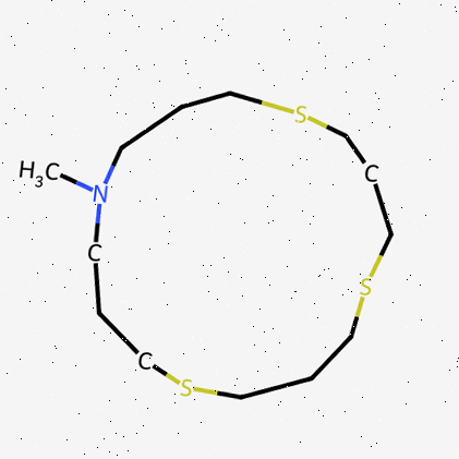 CN1CCCSCCCSCCCSCCC1